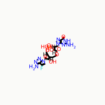 Nc1nc2c(ncn2[C@@H]2OC3OCC[C@H]4[C@@H](O)[C@H](n5cc(F)c6c(N)ncnc65)O[C@@H]4COP(=O)(O)O[C@@H]2[C@@H]3O)c(=O)[nH]1